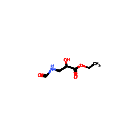 CCOC(=O)C(O)CNC=O